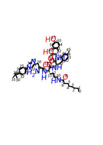 CCCCCCCC(=O)NCCCC[C@H](NC(=O)[C@@H](N)Cc1cn(-c2ccc(C(C)(C)C)cc2)cn1)C(=O)N[C@H](Cc1ccc(C)cc1)C(=O)N[C@@H](Cc1ccc(O)cc1)C(=O)O